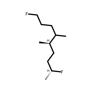 CC(CCCF)[C@H](C)CC[C@@H](C)F